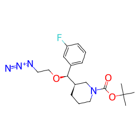 CC(C)(C)OC(=O)N1CCC[C@@H]([C@@H](OCCN=[N+]=[N-])c2cccc(F)c2)C1